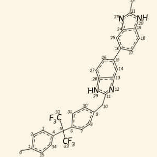 Cc1ccc(C(c2ccc(Cc3nc4cc(-c5ccc6[nH]c(C)nc6c5)ccc4[nH]3)cc2)(C(F)(F)F)C(F)(F)F)cc1